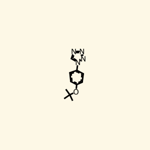 CC(C)(C)Oc1ccc(-n2cnnn2)cc1